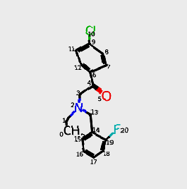 CCN(CC(=O)c1ccc(Cl)cc1)Cc1ccccc1F